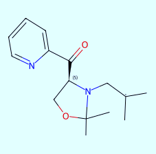 C[C](C)CN1[C@H](C(=O)c2ccccn2)COC1(C)C